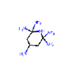 NC1CC(N)(N)NC(N)(N)C1